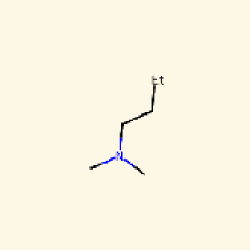 [CH2]N(C)CCCC